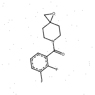 O=C(c1cccc(F)c1F)N1CCC2(CC1)CO2